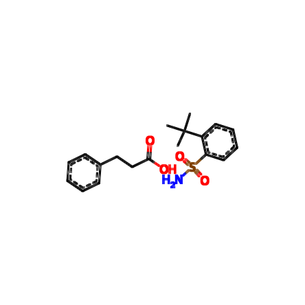 CC(C)(C)c1ccccc1S(N)(=O)=O.O=C(O)CCc1ccccc1